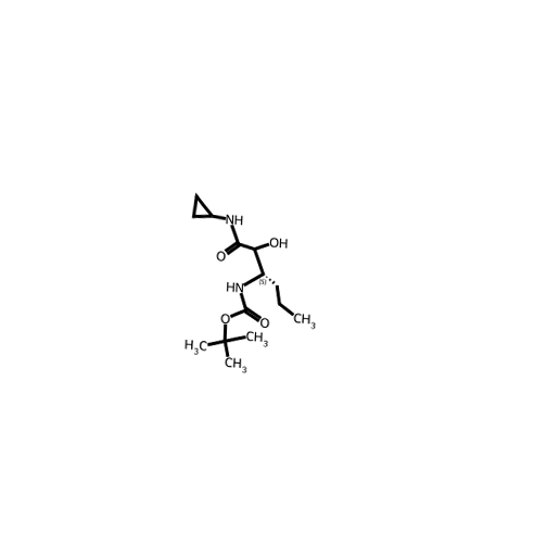 CCC[C@H](NC(=O)OC(C)(C)C)C(O)C(=O)NC1CC1